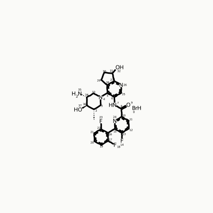 Br.C[C@H]1CN(c2c(NC(=O)c3ccc(F)c(-c4c(F)cccc4F)n3)cnc3c2CCC3O)C[C@@H](N)[C@@H]1O